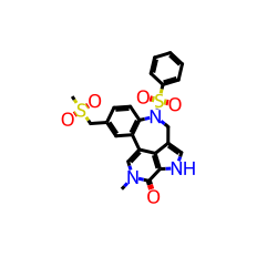 Cn1cc2c3c(c[nH]c3c1=O)CN(S(=O)(=O)c1ccccc1)c1ccc(CS(C)(=O)=O)cc1-2